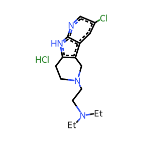 CCN(CC)CCN1CCc2[nH]c3ncc(Cl)cc3c2C1.Cl